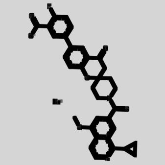 COc1cc(C(=O)N2CCC3(CC2)CC(=O)c2cc(-c4ccc(F)c(C(=O)[O-])c4)ccc2O3)cc2c(C3CC3)nccc12.[Na+]